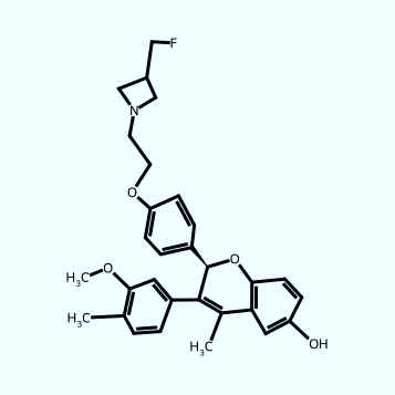 COc1cc(C2=C(C)c3cc(O)ccc3O[C@@H]2c2ccc(OCCN3CC(CF)C3)cc2)ccc1C